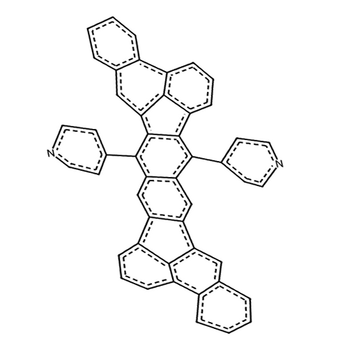 c1ccc2c(c1)cc1c3cc4c(-c5ccncc5)c5c6cccc7c8ccccc8cc(c5c(-c5ccncc5)c4cc3c3cccc2c31)c76